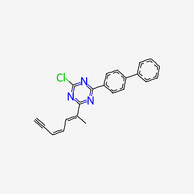 C#C/C=C\C=C(/C)c1nc(Cl)nc(-c2ccc(-c3ccccc3)cc2)n1